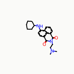 CN(C)CCN1C(=O)c2cccc3c(NC4CCCCC4)ccc(c23)C1=O